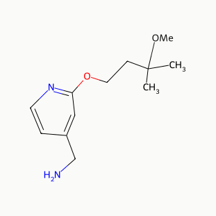 COC(C)(C)CCOc1cc(CN)ccn1